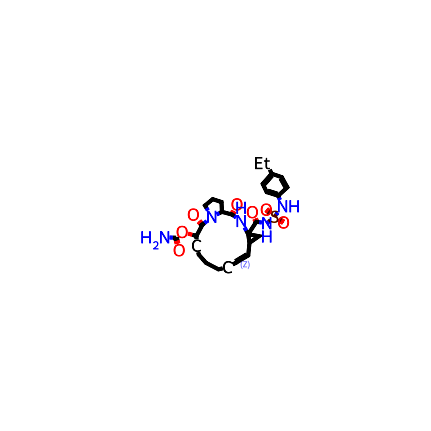 CCc1ccc(NS(=O)(=O)NC(=O)C23CC2/C=C\CCCCCC(OC(N)=O)C(=O)N2CCCC2C(=O)N3)cc1